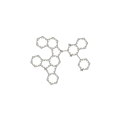 c1cncc(-c2nc(-n3c4ccc5ccccc5c4c4c5c6ccccc6n6c7ccccc7c(cc43)c56)nc3ccccc23)c1